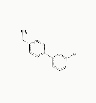 Cc1c(Br)cccc1-c1ccc(CN)cc1